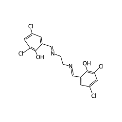 Oc1c(Cl)cc(Cl)cc1C=NCCN=Cc1cc(Cl)cc(Cl)c1O